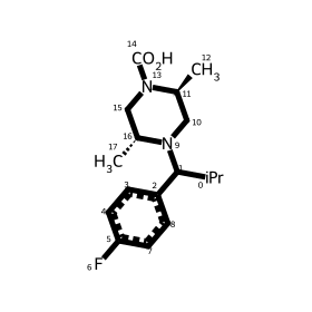 CC(C)C(c1ccc(F)cc1)N1C[C@H](C)N(C(=O)O)C[C@H]1C